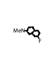 CNc1ccc2ccc(F)cc2c1